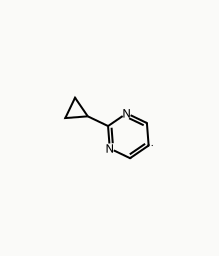 [c]1cnc(C2CC2)nc1